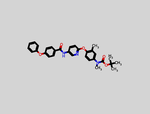 Cc1cc(N(C)C(=O)OC(C)(C)C)ccc1Oc1ccc(NC(=O)c2ccc(Oc3ccccc3)cc2)cn1